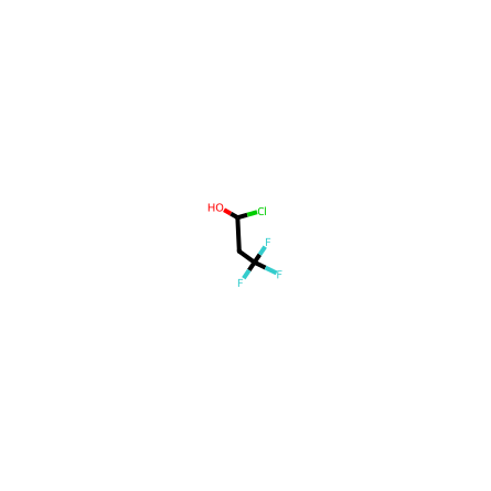 OC(Cl)CC(F)(F)F